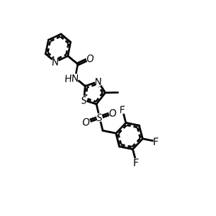 Cc1nc(NC(=O)c2ccccn2)sc1S(=O)(=O)Cc1cc(F)c(F)cc1F